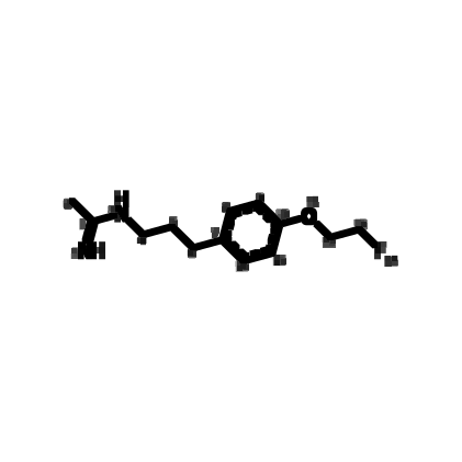 CC(=N)NCCCc1ccc(OCCF)cc1